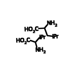 CC(C)C(N)C(=O)O.CC(C)CC(N)C(=O)O